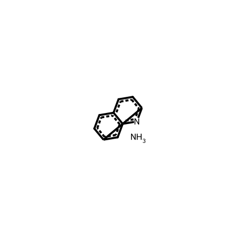 N.c1cc2ccc3nc2cc1-3